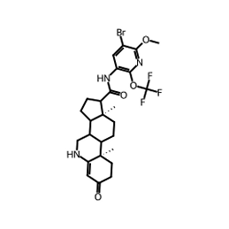 COc1nc(OC(F)(F)F)c(NC(=O)C2CCC3C4CNC5=CC(=O)CC[C@]5(C)C4CC[C@]23C)cc1Br